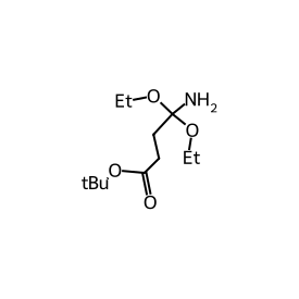 CCOC(N)(CCC(=O)OC(C)(C)C)OCC